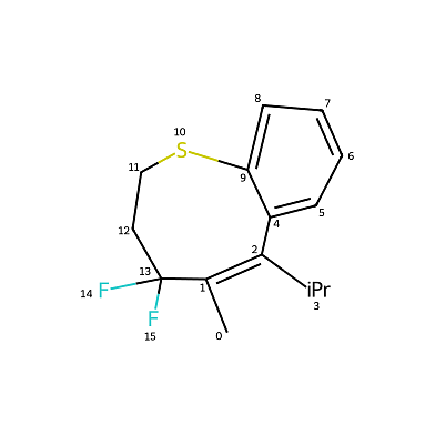 C/C1=C(\C(C)C)c2ccccc2SCCC1(F)F